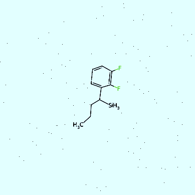 CCCC([SiH3])c1cccc(F)c1F